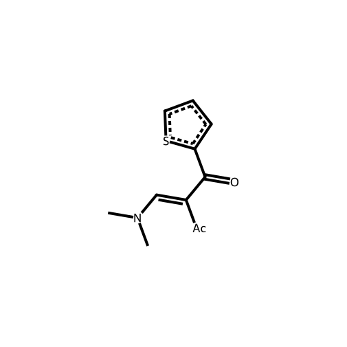 CC(=O)C(=CN(C)C)C(=O)c1cccs1